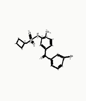 CCC(C)c1cccc(C(=O)c2ccc([N+](=O)[O-])c(NS(=O)(=O)C3CCC3)c2)c1